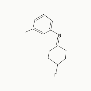 Cc1cccc(N=C2CCC(F)CC2)c1